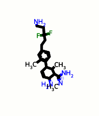 C/N=C(/N)C1C(N)C=CC(c2ccc(CCC(F)(F)CCN)cc2C)C1C